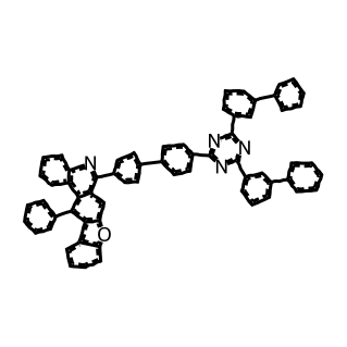 c1ccc(-c2cccc(-c3nc(-c4ccc(-c5ccc(-c6nc7ccccc7c7c(-c8ccccc8)c8c(cc67)oc6ccccc68)cc5)cc4)nc(-c4cccc(-c5ccccc5)c4)n3)c2)cc1